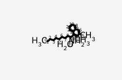 CCCCCCCCCC(N)c1c(C)c(C)cc2ccccc12.O